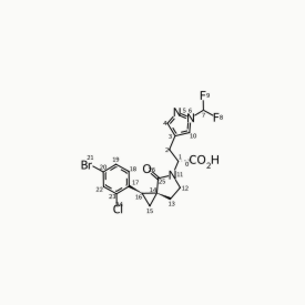 O=C(O)[C@@H](Cc1cnn(C(F)F)c1)N1CC[C@]2(C[C@H]2c2ccc(Br)cc2Cl)C1=O